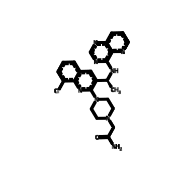 C[C@H](Nc1ncnc2cccnc12)c1cc2cccc(Cl)c2nc1N1CCN(CC(N)=O)CC1